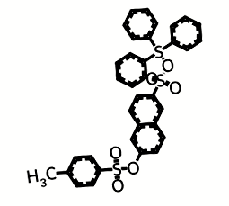 Cc1ccc(S(=O)(=O)Oc2ccc3cc(S(=O)(=O)OS(c4ccccc4)(c4ccccc4)c4ccccc4)ccc3c2)cc1